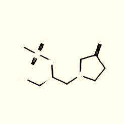 CC(C)C[C@H](CN1CCC(=O)C1)NS(C)(=O)=O